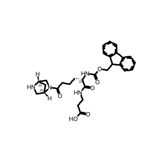 O=C(O)CCNC(=O)[C@H](CCCC(=O)N1C[C@@H]2C[C@H]1CN2)NC(=O)OCC1c2ccccc2-c2ccccc21